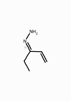 C=C/C(CC)=N\N